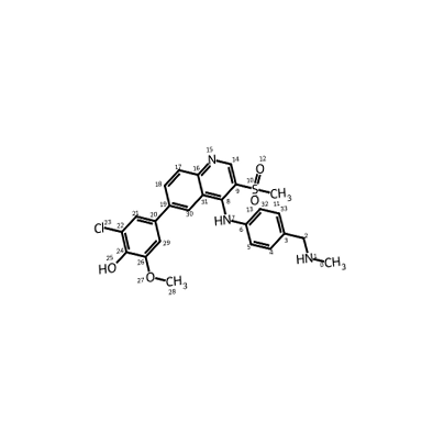 CNCc1ccc(Nc2c(S(C)(=O)=O)cnc3ccc(-c4cc(Cl)c(O)c(OC)c4)cc23)cc1